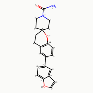 NC(=O)N1CCC2(CCc3cc(-c4ccc5occc5c4)ccc3O2)CC1